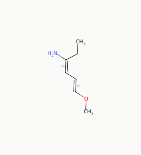 CC/C(N)=C\C=C\OC